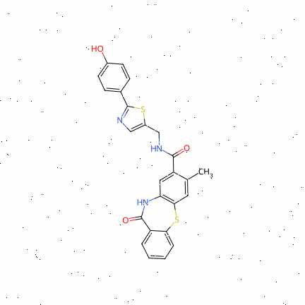 Cc1cc2c(cc1C(=O)NCc1cnc(-c3ccc(O)cc3)s1)NC(=O)c1ccccc1S2